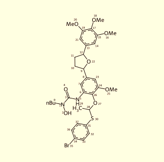 CCCCN(O)C(=O)Nc1cc(C2CCC(c3cc(OC)c(OC)c(OC)c3)O2)cc(OC)c1OC(C)Sc1ccc(Br)cc1